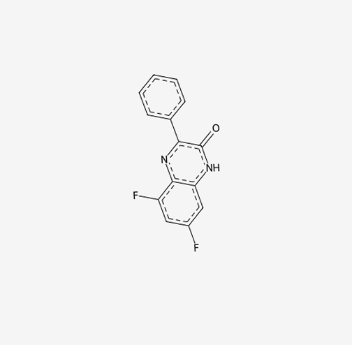 O=c1[nH]c2cc(F)cc(F)c2nc1-c1ccccc1